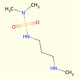 CNCCCNS(=O)(=O)N(C)C